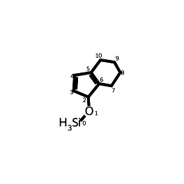 [SiH3]OC1C=CC2=C1CCCC2